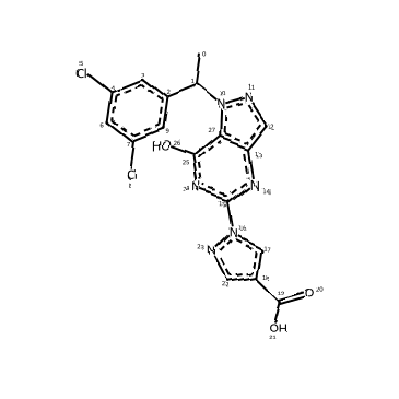 CC(c1cc(Cl)cc(Cl)c1)n1ncc2nc(-n3cc(C(=O)O)cn3)nc(O)c21